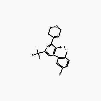 Nc1c(-c2cc(F)ccc2F)cc(C(F)(F)F)nc1C1=CCOCC1